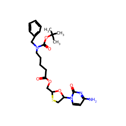 CC(C)(C)OC(=O)N(CCCCC(=O)OCC1OC(n2ccc(N)nc2=O)CS1)Cc1ccccc1